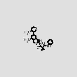 Cc1ccncc1-c1cc(N)c2cnc(NC(=O)C3(C(=O)Nc4ccccc4)CC3)cc2c1